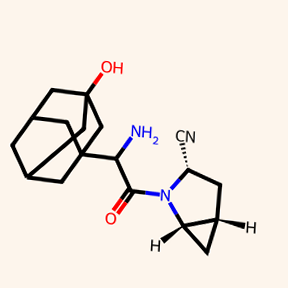 N#C[C@@H]1C[C@@H]2C[C@@H]2N1C(=O)C(N)C12CC3CC(CC(O)(C3)C1)C2